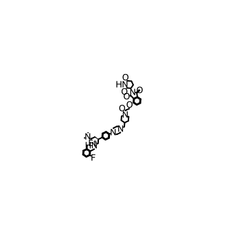 CC[C@@H](C[C@H](CNCc1c(C)cccc1F)c1ccc(N2CCN(CC3CCN(C(=O)COc4cccc5c4C(=O)N(C4CCC(=O)NC4=O)C5=O)CC3)CC2)cc1)N(C)C